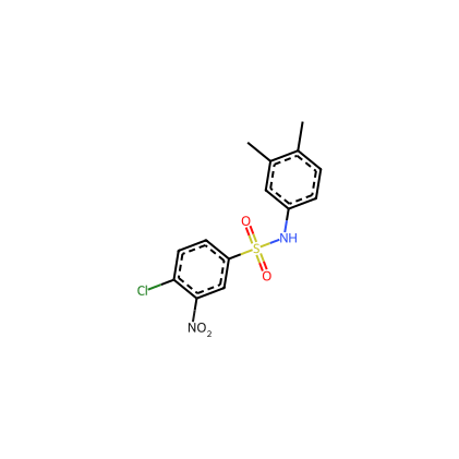 Cc1ccc(NS(=O)(=O)c2ccc(Cl)c([N+](=O)[O-])c2)cc1C